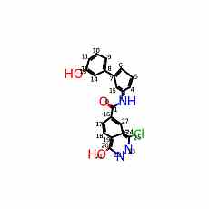 O=C(Nc1cccc(-c2cccc(O)c2)c1)c1ccc2c(O)nnc(Cl)c2c1